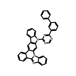 c1ccc(-c2cccc(-c3ncnc(-n4c5ccccc5c5cc6c7ccccc7c7nc8ccccc8n7c6cc54)n3)c2)cc1